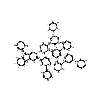 c1ccc(-c2cncc(-c3ccccc3-c3cc(-c4ccccc4-c4cncc(-c5ccccc5)c4)cc(-c4ccccc4-c4cnc(-c5ccccc5)cc4-c4ccc5c(c4)c4ccccc4n5-c4ccccc4)c3)c2)cc1